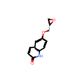 O=c1ccc2cc(OC[C@@H]3CO3)ccc2[nH]1